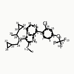 CSc1nc2c(-c3ccc(OC(F)(F)F)cc3Cl)nccn2c1N(CC1CC1)C(C)C1CC1